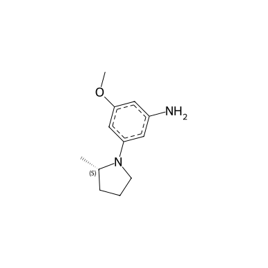 COc1cc(N)cc(N2CCC[C@@H]2C)c1